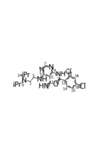 CC(C)N(CCNc1ncnc(NC(=O)c2ccc(Cl)cc2Cl)c1C=N)C(C)C